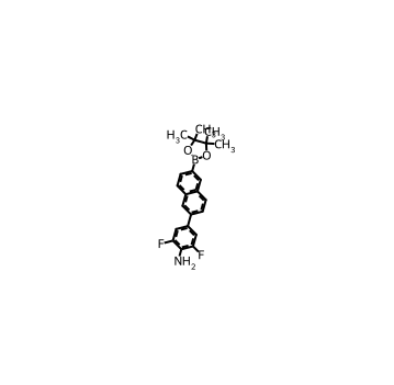 CC1(C)OB(c2ccc3cc(-c4cc(F)c(N)c(F)c4)ccc3c2)OC1(C)C